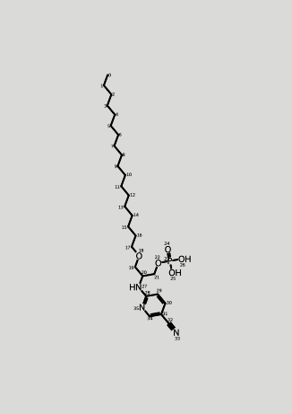 CCCCCCCCCCCCCCCCCCOCC(COP(=O)(O)O)Nc1ccc(C#N)cn1